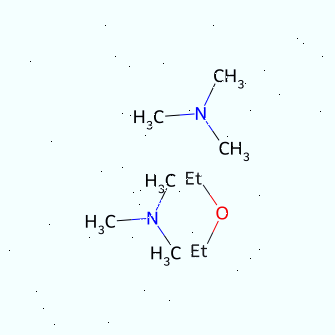 CCOCC.CN(C)C.CN(C)C